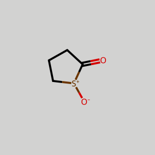 O=C1CCC[S+]1[O-]